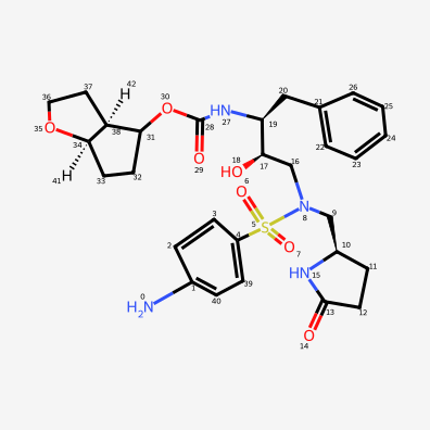 Nc1ccc(S(=O)(=O)N(C[C@H]2CCC(=O)N2)C[C@@H](O)[C@H](Cc2ccccc2)NC(=O)OC2CC[C@H]3OCC[C@@H]23)cc1